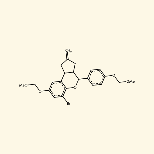 C=C1CC2c3cc(OCOC)cc(Br)c3OC(c3ccc(OCOC)cc3)C2C1